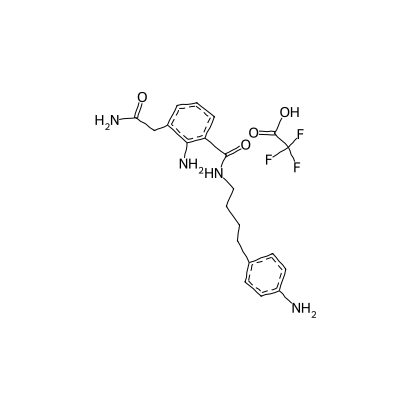 NC(=O)Cc1cccc(C(=O)NCCCCc2ccc(N)cc2)c1N.O=C(O)C(F)(F)F